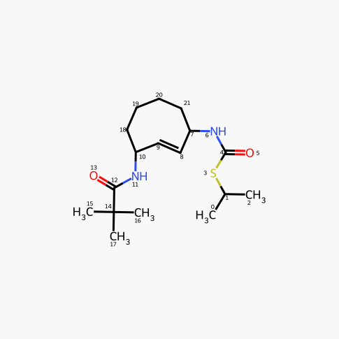 CC(C)SC(=O)NC1/C=C/C(NC(=O)C(C)(C)C)CCCC1